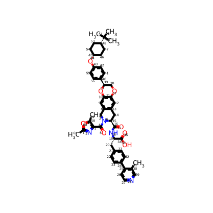 Cc1nc(C(=O)N2Cc3cc4c(cc3C[C@H]2C(=O)N[C@@H](Cc2ccc(-c3ccncc3C)cc2)C(=O)O)OC[C@H](c2ccc(O[C@H]3CC[C@@H](C(C)(C)C)CC3)cc2)O4)c(C)o1